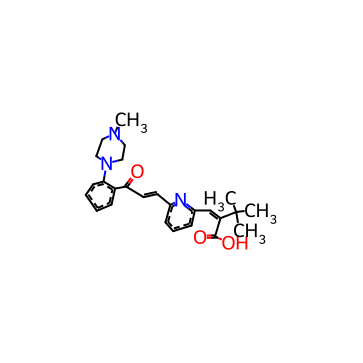 CN1CCN(c2ccccc2C(=O)C=Cc2cccc(C=C(C(=O)O)C(C)(C)C)n2)CC1